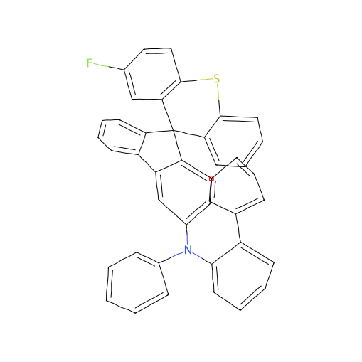 Fc1ccc2c(c1)C1(c3ccccc3S2)c2ccccc2-c2cc(N(c3ccccc3)c3ccccc3-c3ccccc3)ccc21